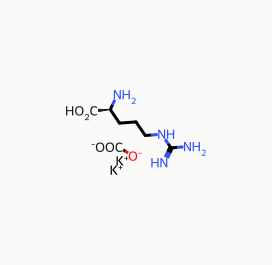 N=C(N)NCCC[C@H](N)C(=O)O.O=C([O-])[O-].[K+].[K+]